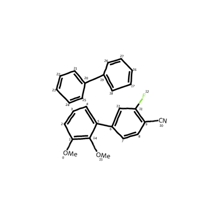 COc1cccc(-c2ccc(C#N)c(F)c2)c1OC.c1ccc(-c2ccccc2)cc1